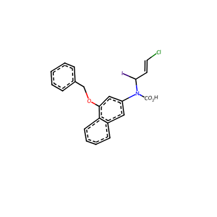 O=C(O)N(c1cc(OCc2ccccc2)c2ccccc2c1)C(I)C=CCl